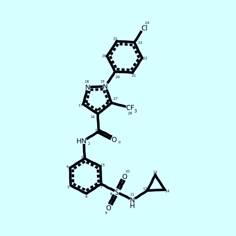 O=C(Nc1cccc(S(=O)(=O)NC2CC2)c1)c1cnn(-c2ccc(Cl)cc2)c1C(F)(F)F